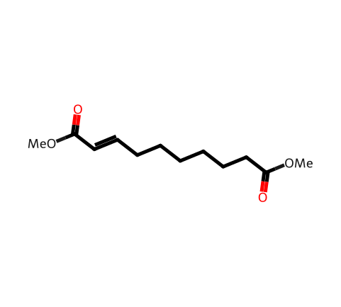 COC(=O)C=CCCCCCCC(=O)OC